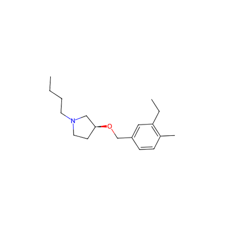 CCCCN1CC[C@H](OCc2ccc(C)c(CC)c2)C1